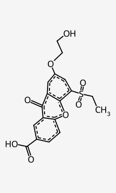 CCS(=O)(=O)c1cc(OCCO)cc2c(=O)c3cc(C(=O)O)ccc3oc12